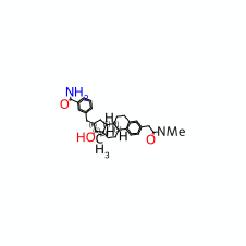 CNC(=O)Cc1ccc2c(c1)CC[C@@H]1[C@@H]2CC[C@]2(C)[C@@H](O)[C@@H](Cc3cccc(C(N)=O)c3)C[C@@H]12